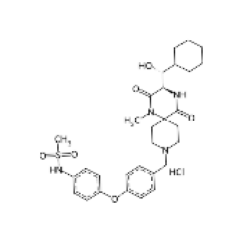 CN1C(=O)[C@@H]([C@H](O)C2CCCCC2)NC(=O)C12CCN(Cc1ccc(Oc3ccc(NS(C)(=O)=O)cc3)cc1)CC2.Cl